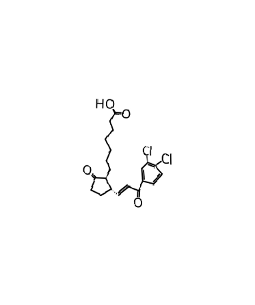 O=C(O)CCCCCC[C@@H]1C(=O)CC[C@H]1C=CC(=O)c1ccc(Cl)c(Cl)c1